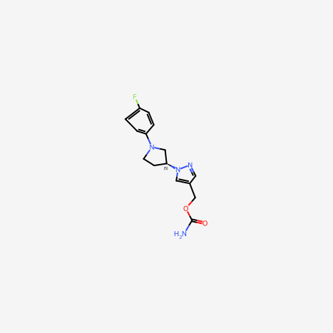 NC(=O)OCc1cnn([C@H]2CCN(c3ccc(F)cc3)C2)c1